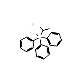 CC(I)P(C)(c1ccccc1)(c1ccccc1)c1ccccc1